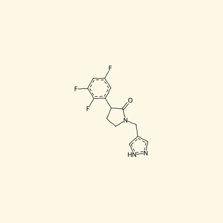 O=C1C(c2cc(F)cc(F)c2F)CCN1Cc1cn[nH]c1